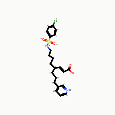 O=C(O)C=CC(CCCCNS(=O)(=O)c1ccc(Cl)cc1)CCCc1cccnc1